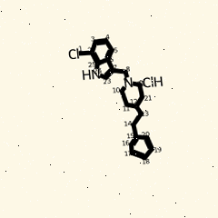 Cl.Clc1cccc2c(CN3CCC(CCc4ccccc4)CC3)c[nH]c12